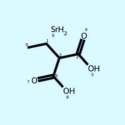 CCC(C(=O)O)C(=O)O.[SrH2]